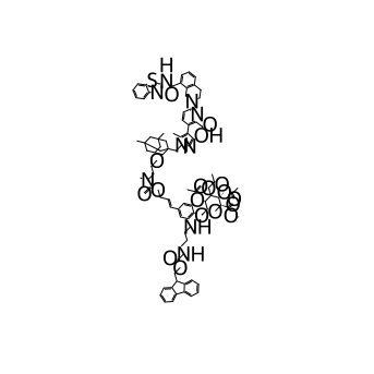 COC(=O)[C@H]1O[C@@H](Oc2ccc(/C=C/COC(=O)N(C)CCOC34CC5(C)CC(C)(CC(Cn6ncc(-c7ccc(N8CCc9cccc(C(=O)Nc%10nc%11ccccc%11s%10)c9C8)nc7C(=O)O)c6C)(C5)C3)C4)cc2NCCCNC(=O)OCC2c3ccccc3-c3ccccc32)[C@H](OC(C)=O)[C@@H](OC(C)=O)[C@@H]1OC(C)=O